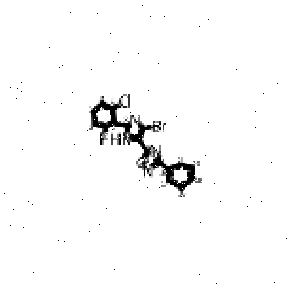 Fc1cccc(Cl)c1-c1nc(Br)c(-c2nc(-c3ccccc3)no2)[nH]1